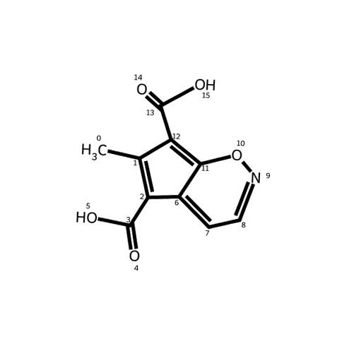 Cc1c(C(=O)O)c2ccnoc-2c1C(=O)O